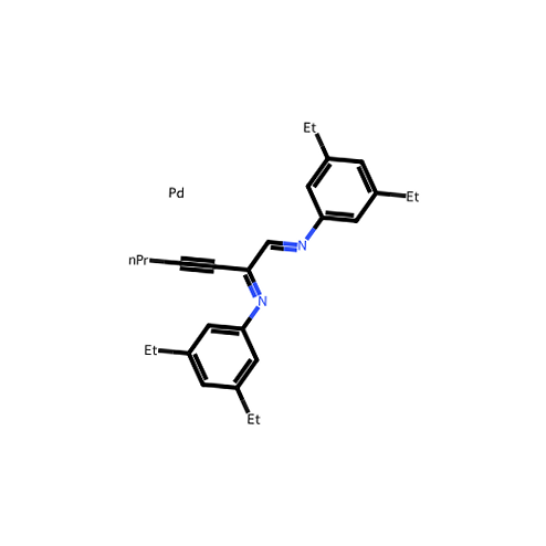 CCCC#CC(C=Nc1cc(CC)cc(CC)c1)=Nc1cc(CC)cc(CC)c1.[Pd]